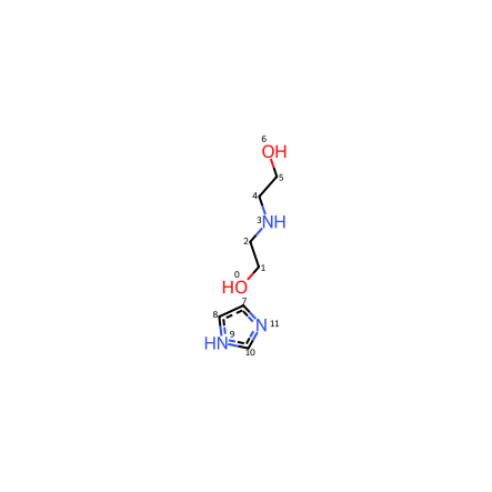 OCCNCCO.c1c[nH]cn1